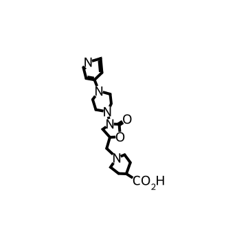 O=C(O)C1CCN(CC2CN(N3CCN(c4ccncc4)CC3)C(=O)O2)CC1